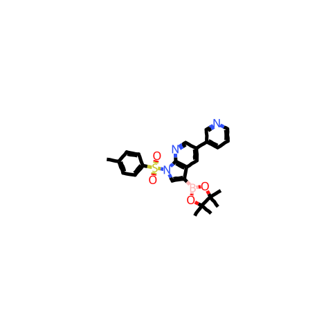 Cc1ccc(S(=O)(=O)n2cc(B3OC(C)(C)C(C)(C)O3)c3cc(-c4cccnc4)cnc32)cc1